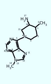 CC1CCN(c2ncnc3c2ncn3C)CC1N